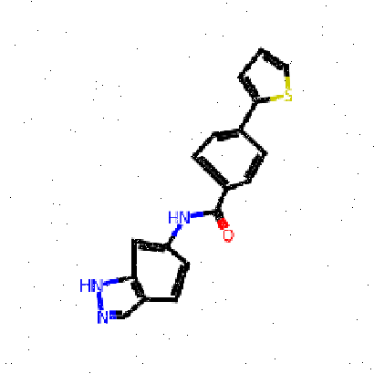 O=C(Nc1ccc2cn[nH]c2c1)c1ccc(-c2cccs2)cc1